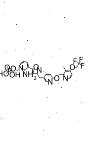 Cc1c(OCC(F)(F)F)ccnc1COc1ccc(Cc2cc(C3=CC=CN(COP(=O)(O)O)C3N)on2)cn1